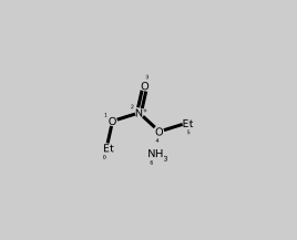 CCO[N+](=O)OCC.N